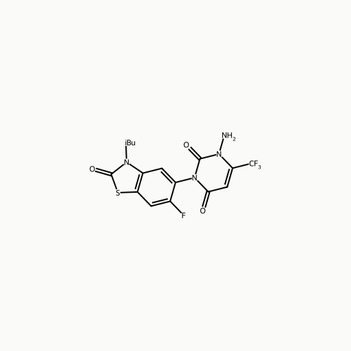 CCC(C)n1c(=O)sc2cc(F)c(-n3c(=O)cc(C(F)(F)F)n(N)c3=O)cc21